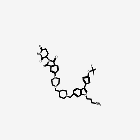 NCCCn1cc(-c2ccc(OC(F)(F)F)cc2)c2ccc(CN3CCC(CN4CCN(c5ccc6c(c5)C(=O)N(C5CCC(=O)NC5=O)C6=O)CC4)CC3)cc21